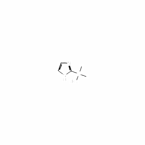 CC(C)(C)[Si](C)(C)c1ncc[nH]1